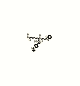 CNC(=O)CCCCCC(NC(=O)CCc1nc2ccccc2s1)c1ncc(-c2ccc(-n3cccn3)cc2)[nH]1